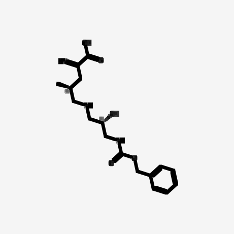 C[C@H](CNC[C@H](O)CNC(=O)OCc1ccccc1)CC(=N)C(=O)O